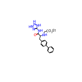 CCOC(=O)CNC(Cc1ccc(-c2ccccc2)cc1)C(=O)NC1=NNNN1